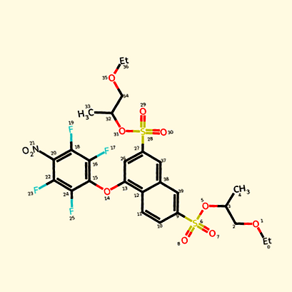 CCOCC(C)OS(=O)(=O)c1ccc2c(Oc3c(F)c(F)c([N+](=O)[O-])c(F)c3F)cc(S(=O)(=O)OC(C)COCC)cc2c1